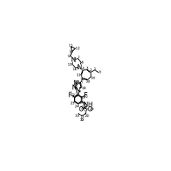 CCC1=CC(N2CCN(CC3CC3)CC2)=CC(c2cn(-c3c(F)ccc(NS(=O)(=O)CC(C)C)c3F)nn2)=CC1